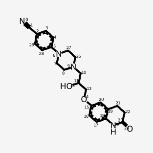 N#Cc1ccc(N2CCN(CC(O)COc3ccc4c(c3)CCC(=O)N4)CC2)cc1